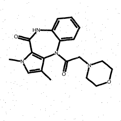 Cc1cn(C)c2c1N(C(=O)CN1CCOCC1)c1ccccc1NC2=O